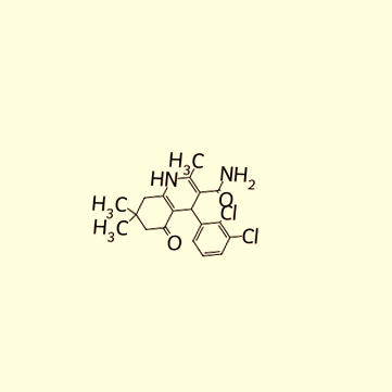 CC1=C(C(N)=O)C(c2cccc(Cl)c2Cl)C2=C(CC(C)(C)CC2=O)N1